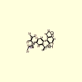 C=C(Nc1ccc2c(c1)CCO2)c1cccc(N(/N=C/C)C(C)=C(C)C)c1